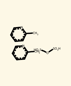 Cc1ccccn1.Cc1ccccn1.O=S(=O)(O)OS(=O)(=O)O